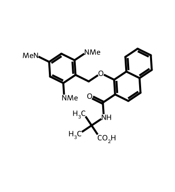 CNc1cc(NC)c(COc2c(C(=O)NC(C)(C)C(=O)O)ccc3ccccc23)c(NC)c1